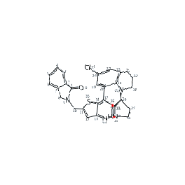 O=C1c2ccccc2CN1Cc1cc2nccc(-c3cc(Cl)cc4c3N([C@H]3CCNC3)CCC4)c2s1